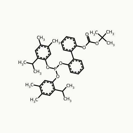 Cc1cc(OP(Oc2ccccc2-c2ccccc2OC(=O)OC(C)(C)C)Oc2cc(C)c(C)cc2C(C)C)c(C(C)C)cc1C